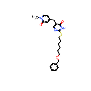 Cn1ccc(Cc2cnc(SCCCCCCOCc3ccccc3)[nH]c2=O)cc1=O